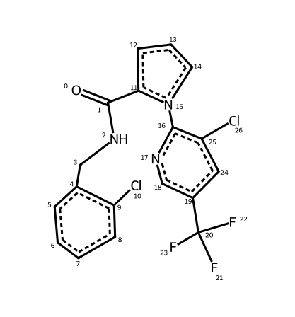 O=C(NCc1ccccc1Cl)c1cccn1-c1ncc(C(F)(F)F)cc1Cl